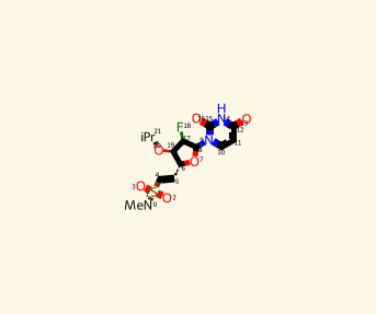 CNS(=O)(=O)/C=C/[C@H]1OC(n2ccc(=O)[nH]c2=O)[C@H](F)[C@@H]1OC(C)C